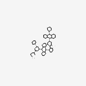 c1ccc(-c2cc(-c3cccnc3)cc(-c3c4ccccc4c(-c4cccc5oc6cc(-c7c8ccccc8c(-c8ccccc8)c8ccccc78)ccc6c45)c4ccccc34)c2)cc1